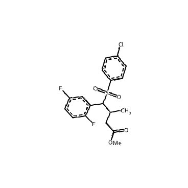 COC(=O)CC(C)C(c1cc(F)ccc1F)S(=O)(=O)c1ccc(Cl)cc1